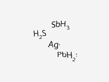 S.[Ag].[PbH2].[SbH3]